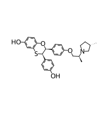 C[C@H]1CCN([C@@H](C)COc2ccc([C@@H]3Oc4ccc(O)cc4S[C@@H]3c3ccc(O)cc3)cc2)C1